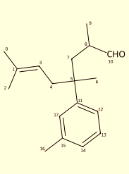 CC(C)=CCC(C)(CC(C)C=O)c1cccc(C)c1